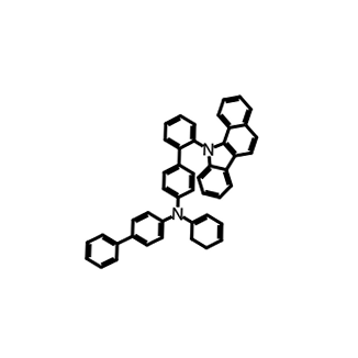 C1=CCCC(N(c2ccc(-c3ccccc3)cc2)c2ccc(-c3ccccc3-n3c4ccccc4c4ccc5ccccc5c43)cc2)=C1